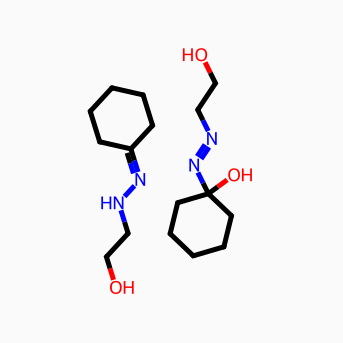 OCCN=NC1(O)CCCCC1.OCCNN=C1CCCCC1